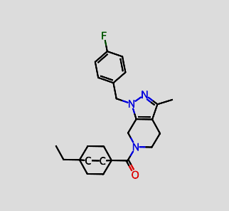 CCC12CCC(C(=O)N3CCc4c(C)nn(Cc5ccc(F)cc5)c4C3)(CC1)CC2